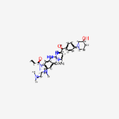 C=CC(=O)Nc1cc(Nc2nccc(C(=O)c3ccc(N4CCCC(O)C4)cc3)n2)c(OC)cc1N(C)CCN(C)C